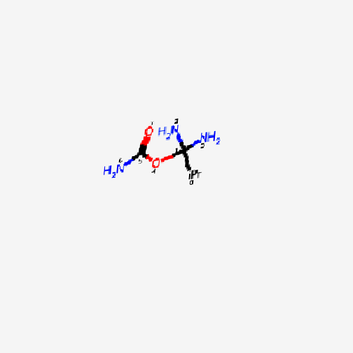 CC(C)C(N)(N)OC(N)=O